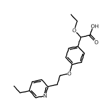 CCOC(C(=O)O)c1ccc(OCCc2ccc(CC)cn2)cc1